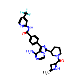 C=C1CC(C(=O)N2CCCC(c3nc(-c4ccc(C(=O)Nc5cc(C(F)(F)F)ccn5)cc4)c4c(N)nccn34)C2)N1